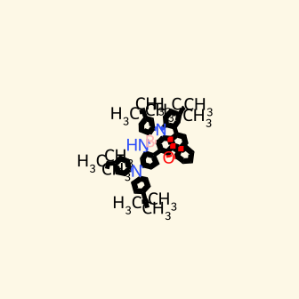 CC(C)(C)c1ccc(N(c2ccc(C(C)(C)C)cc2)c2ccc3c(c2)NB2c4ccc(C(C)(C)C)cc4N(c4ccc(C(C)(C)C)cc4-c4ccccc4)c4cc5c(oc6ccccc65)c-3c42)cc1